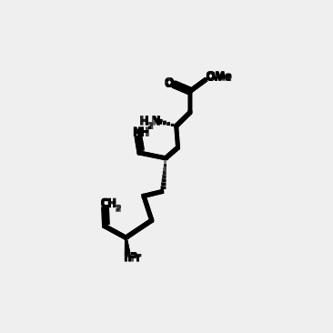 C=C[C@H](CCC)CCC[C@H](C=N)C[C@H](N)CC(=O)OC